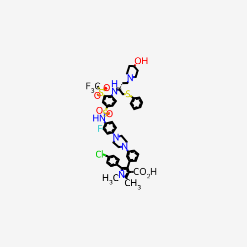 Cc1c(C(=O)O)c(-c2cccc(N3CCN(c4ccc(NS(=O)(=O)c5ccc(N[C@H](CCN6CCC(O)CC6)CSc6ccccc6)c(S(=O)(=O)C(F)(F)F)c5)c(F)c4)CC3)c2)c(-c2ccc(Cl)cc2)n1C